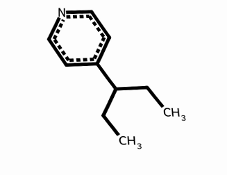 CC[C](CC)c1ccncc1